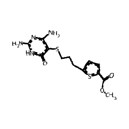 COC(=O)c1ccc(CCCSc2c(N)nc(N)[nH]c2=O)s1